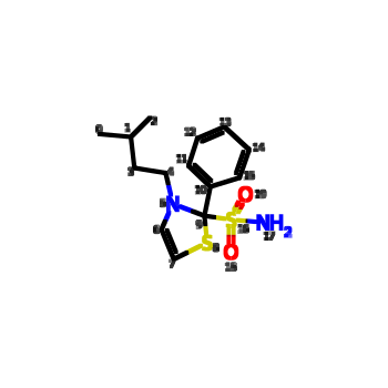 CC(C)CCN1C=CSC1(c1ccccc1)S(N)(=O)=O